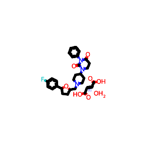 O.O=C(O)/C=C/C(=O)O.O=C1CCN(C2CCN(CC3CCC(c4ccc(F)cc4)O3)CC2)C(=O)N1c1ccccc1